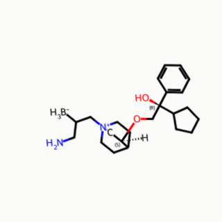 [BH3-]C(CN)C[N+]12CCC(CC1)[C@H](OC[C@](O)(c1ccccc1)C1CCCC1)C2